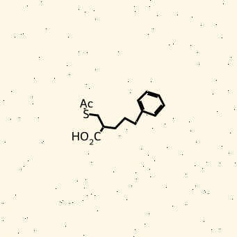 CC(=O)SCC(CCCc1ccccc1)C(=O)O